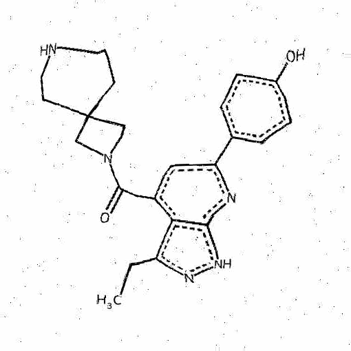 CCc1n[nH]c2nc(-c3ccc(O)cc3)cc(C(=O)N3CC4(CCNCC4)C3)c12